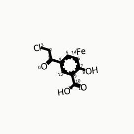 O=C(CCl)c1ccc(O)c(C(=O)O)c1.[Fe]